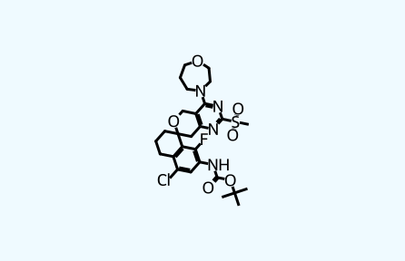 CC(C)(C)OC(=O)Nc1cc(Cl)c2c(c1F)C1(CCC2)Cc2nc(S(C)(=O)=O)nc(N3CCCOCC3)c2CO1